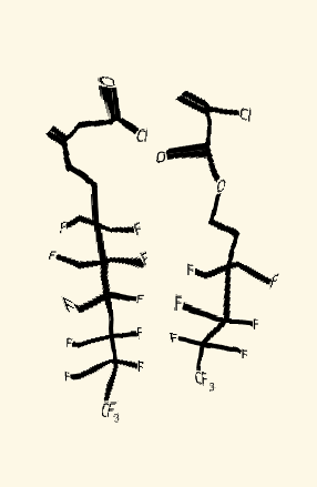 C=C(CCC(F)(F)C(F)(F)C(F)(F)C(F)(F)C(F)(F)C(F)(F)F)C(=O)Cl.C=C(Cl)C(=O)OCCC(F)(F)C(F)(F)C(F)(F)C(F)(F)F